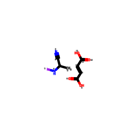 CC(C#N)NI.O=C(O)C=CC(=O)O